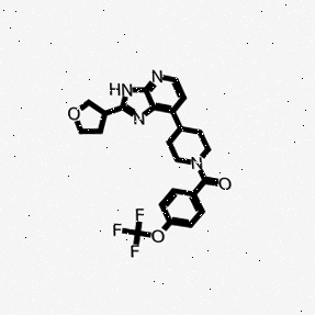 O=C(c1ccc(OC(F)(F)F)cc1)N1CCC(c2ccnc3[nH]c(C4CCOC4)nc23)CC1